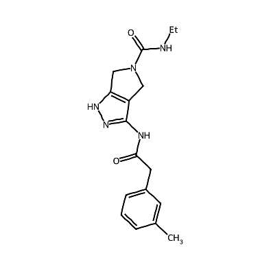 CCNC(=O)N1Cc2[nH]nc(NC(=O)Cc3cccc(C)c3)c2C1